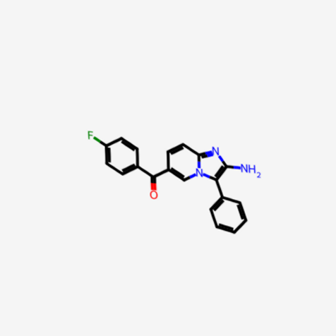 Nc1nc2ccc(C(=O)c3ccc(F)cc3)cn2c1-c1ccccc1